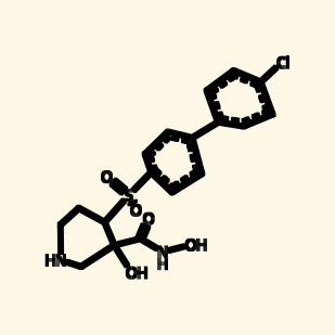 O=C(NO)C1(O)CNCCC1S(=O)(=O)c1ccc(-c2ccc(Cl)cc2)cc1